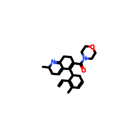 C=CC1=C(C)C=CCC1C1=C(C(=O)N2CCOCC2)CCC2=NC(C)CC=C21